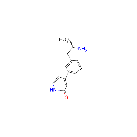 N[C@@H](Cc1cccc(-c2cc[nH]c(=O)c2)c1)C(=O)O